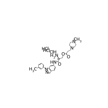 Cc1cccc(-n2ncc3ccc(NC(=O)[C@@H](N)COC(=O)CCN4CCN(C)CC4)cc32)c1.Cl.Cl.Cl